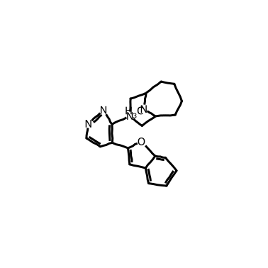 CN1C2CCCCC1CN(c1nnccc1-c1cc3ccccc3o1)C2